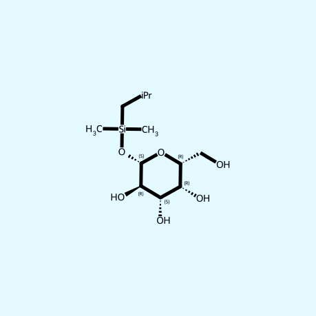 CC(C)C[Si](C)(C)O[C@@H]1O[C@H](CO)[C@H](O)[C@H](O)[C@H]1O